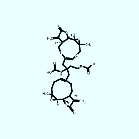 C=C1C(=O)O[C@H]2[C@H]1CC/C(CC(CCNC(=O)O)(C/C1=C/CC[C@@]3(C)O[C@H]3[C@H]3OC(=O)C(=C)[C@@H]3CC1)NC(=O)O)=C\CC[C@@]1(C)O[C@@H]21